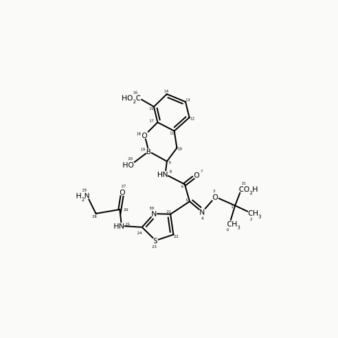 CC(C)(O/N=C(\C(=O)NC1Cc2cccc(C(=O)O)c2OB1O)c1csc(NC(=O)CN)n1)C(=O)O